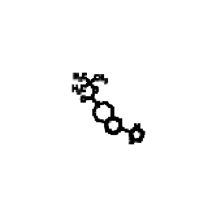 CC(C)(C)OC(=O)N1CCc2ccc(-c3nccs3)cc2CC1